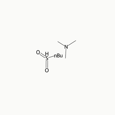 CCCC[SH](=O)=O.CN(C)C